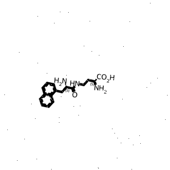 N[C@@H](CCNC(=O)[C@@H](N)Cc1cccc2ccccc12)C(=O)O